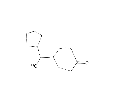 O=C1CCC(C(O)C2CCCC2)CC1